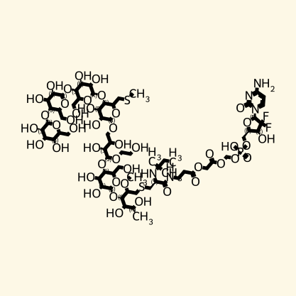 CCC(C)(C)N[C@H](CSCC(OC)[C@@H](O[C@@H]1OC(CO)[C@@H](O[C@H](OCCO)[C@@H](O)C(O)CO[C@H]2OC(CSC)[C@@H](O[C@H]3OC(CO)[C@@H](O[C@H]4OC(CO)[C@@H](O[C@H]5OC(CO)[C@@H](O)C(O)[C@@H]5O)C(O)[C@@H]4O)[C@H](O)C3O)[C@H](O)C2O)C(O)[C@@H]1O)C(O)[C@@H](C)O)C(=O)NCCC(=O)OCC(=O)OCOP(=O)(O)OC[C@H]1O[C@@H](n2ccc(N)nc2=O)C(F)(F)[C@@H]1O